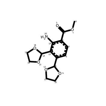 COC(=O)c1ccc(C2OCCO2)c(C2OCCO2)c1N